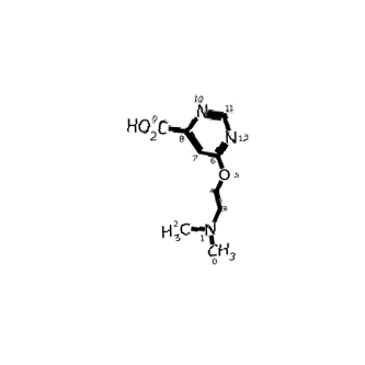 CN(C)CCOc1cc(C(=O)O)ncn1